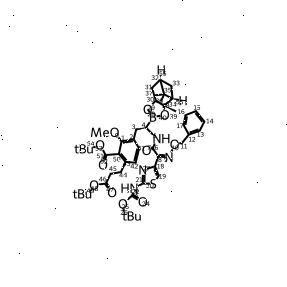 COc1c(C[C@H](NC(=O)/C(=N\OCc2ccccc2)c2csc(NC(=O)OC(C)(C)C)n2)B2OC3C[C@H]4C[C@@H](C4(C)C)[C@]3(C)O2)ccc(CCC(=O)OC(C)(C)C)c1C(=O)OC(C)(C)C